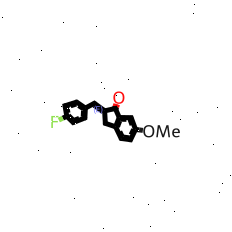 COc1ccc2c(c1)C(=O)/C(=C/c1ccc(F)cc1)C2